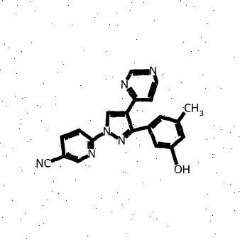 Cc1cc(O)cc(-c2nn(-c3ccc(C#N)cn3)cc2-c2ccncn2)c1